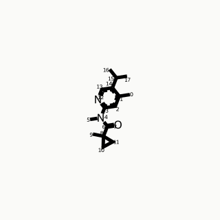 Cc1cc(N(C)C(=O)C2(C)CC2)ncc1C(C)C